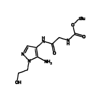 CC(C)(C)OC(=O)NCC(=O)Nc1cnn(CCO)c1N